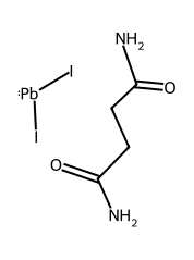 NC(=O)CCC(N)=O.[I][Pb][I]